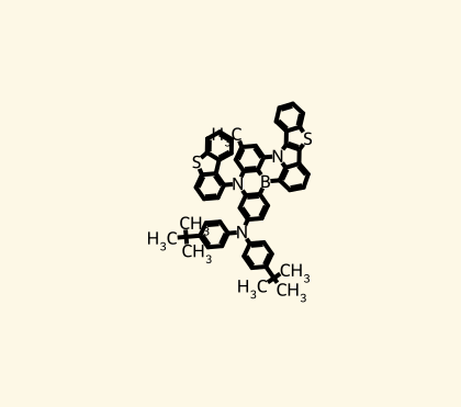 Cc1cc2c3c(c1)-n1c4c(cccc4c4sc5ccccc5c41)B3c1ccc(N(c3ccc(C(C)(C)C)cc3)c3ccc(C(C)(C)C)cc3)cc1N2c1cccc2sc3ccccc3c12